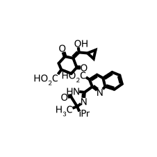 CC(C)C1(C)N=C(c2nc3ccccc3cc2C(=O)O)NC1=O.O=C1CC(C(=O)O)CC(=O)C1=C(O)C1CC1